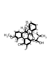 COC[C@H]1c2c(cc(F)c(Cl)c2-c2c(C(N)=O)ccc(OC)c2F)O[C@]1(CN(C)C(=O)O)c1ccccc1